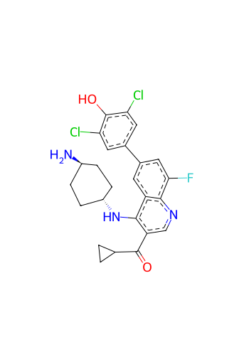 N[C@H]1CC[C@H](Nc2c(C(=O)C3CC3)cnc3c(F)cc(-c4cc(Cl)c(O)c(Cl)c4)cc23)CC1